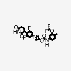 Cc1ccc(NC(=O)OC2CN(c3cc(F)c(C4CCC(=O)NC4=O)c(F)c3)C2)cc1OC(F)F